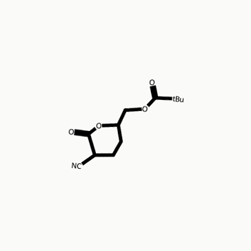 CC(C)(C)C(=O)OCC1CCC(C#N)C(=O)O1